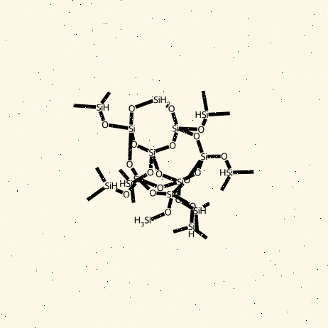 C[SiH](C)O[Si]1(O[SiH3])O[Si]2(O[SiH](C)C)O[Si]3(O[SiH](C)C)O[SiH2]O[Si]4(O[SiH](C)C)O[Si](O[SiH](C)C)(O1)O[Si](O[SiH](C)C)(O2)O[Si](O[SiH](C)C)(O3)O4